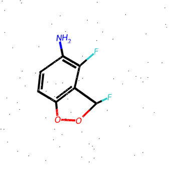 Nc1ccc2c(c1F)C(F)OO2